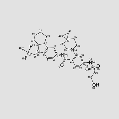 O=C(Nc1ccc2c(c1)C1CCCCC1N2CC(F)(F)F)c1ccc(NS(=O)(=O)CCO)cc1N1CCC2(CC1)CC2